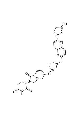 O=C1CCC(N2Cc3cc(O[C@H]4CCN(Cc5ccc6nc([C@@H]7CC[C@@H](O)C7)ccc6c5)C4)ccc3C2=O)C(=O)N1